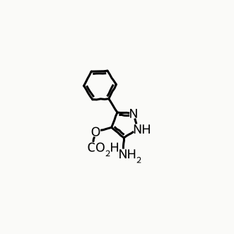 Nc1[nH]nc(-c2ccccc2)c1OC(=O)O